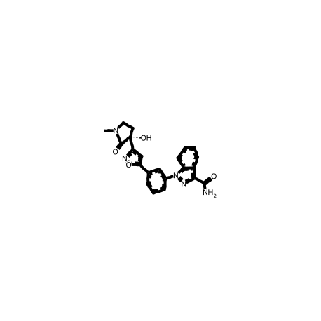 CN1CC[C@@](O)(c2cc(-c3cccc(-n4nc(C(N)=O)c5ccccc54)c3)on2)C1=O